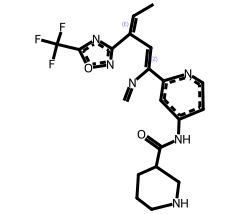 C=N/C(=C\C(=C/C)c1noc(C(F)(F)F)n1)c1cc(NC(=O)C2CCCNC2)ccn1